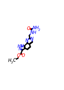 CCOC(=O)c1n[nH]c2c1ccc1cnc(CNC(N)=O)nc12